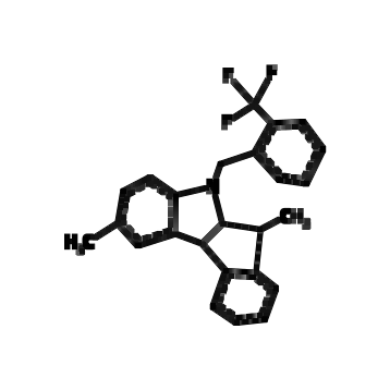 Cc1ccc2c(c1)C1c3ccccc3C(C)C1N2Cc1ccccc1C(F)(F)F